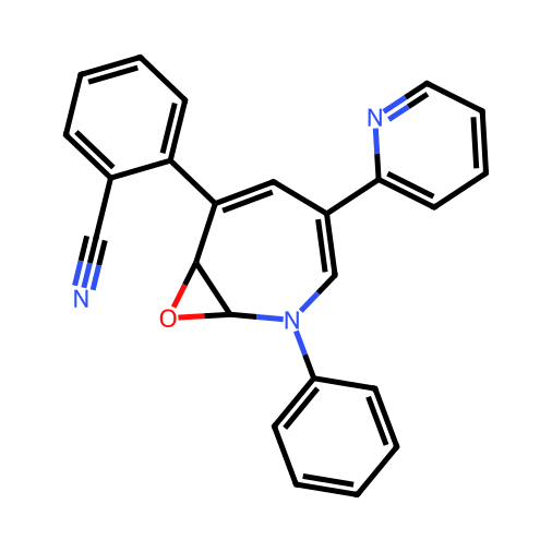 N#Cc1ccccc1C1=CC(c2ccccn2)=CN(c2ccccc2)C2OC12